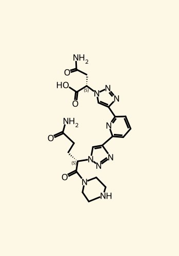 NC(=O)CC[C@@H](C(=O)N1CCNCC1)n1cc(-c2cccc(-c3cn([C@@H](CC(N)=O)C(=O)O)nn3)n2)nn1